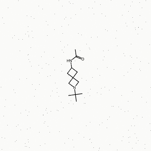 CC(=O)NC1CC2(C1)CN(C(C)(C)C)C2